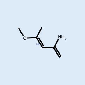 C=C(N)/C=C(\C)OC